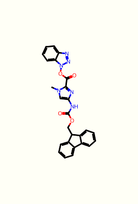 Cn1cc(NC(=O)OCC2c3ccccc3-c3ccccc32)nc1C(=O)On1nnc2ccccc21